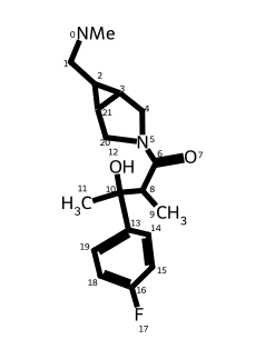 CNCC1C2CN(C(=O)C(C)C(C)(O)c3ccc(F)cc3)CC12